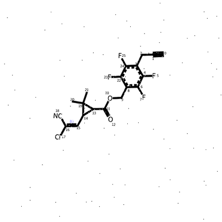 C#CCc1c(F)c(F)c(COC(=O)C2C(/C=C(/Cl)C#N)C2(C)C)c(F)c1F